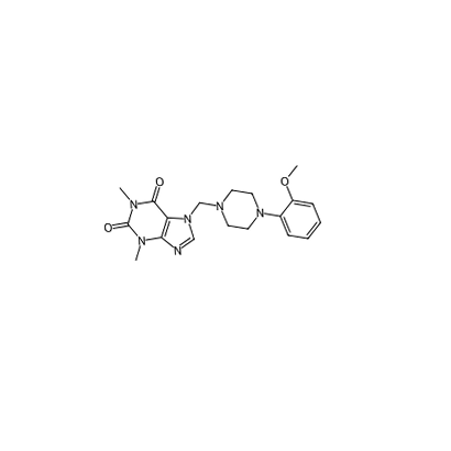 COc1ccccc1N1CCN(Cn2cnc3c2c(=O)n(C)c(=O)n3C)CC1